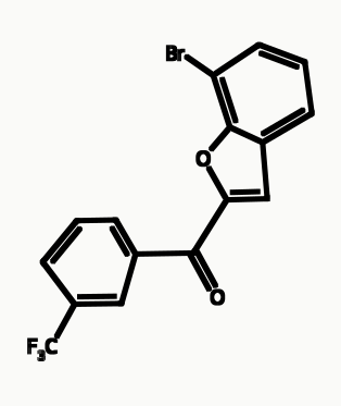 O=C(c1cccc(C(F)(F)F)c1)c1cc2cccc(Br)c2o1